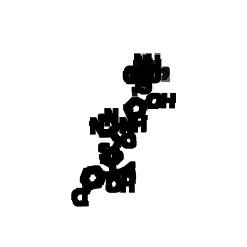 NS(=O)(=O)OC[C@H]1C[C@@H](Nc2ncncc2C(=O)c2cc(C(O)(c3cccc(Cl)c3)C3CC3)cs2)C[C@@H]1O